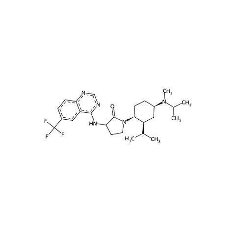 CC(C)[C@@H]1C[C@H](N(C)C(C)C)CC[C@@H]1N1CCC(Nc2ncnc3ccc(C(F)(F)F)cc23)C1=O